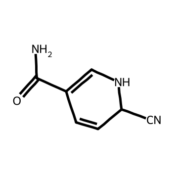 N#CC1C=CC(C(N)=O)=CN1